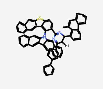 CCC1C(c2ccc(-c3ccccc3)cc2)=NC(c2ccc3sc4cc5ccccc5cc4c3c2-n2c3cc4ccccc4cc3c3cc4ccccc4cc32)=NC1c1cccc2c1c(C)cc1ccccc12